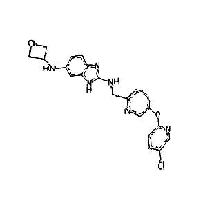 Clc1ccc(Oc2ccc(CNc3nc4ccc(NC5COC5)cc4[nH]3)nc2)nc1